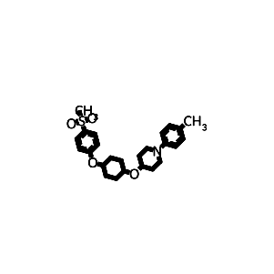 Cc1ccc(N2CCC(OC3CCC(Oc4ccc(S(C)(=O)=O)cc4)CC3)CC2)cc1